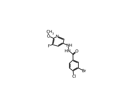 COc1ncc(NNC(=O)c2ccc(Cl)c(Br)c2)cc1F